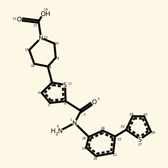 NN(C(=O)c1ccc(C2CCN(C(=O)O)CC2)s1)c1cccc(-c2cccs2)c1